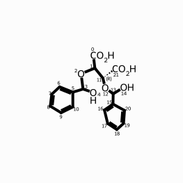 O=C(O)C(OC(O)c1ccccc1)[C@@H](OC(O)c1ccccc1)C(=O)O